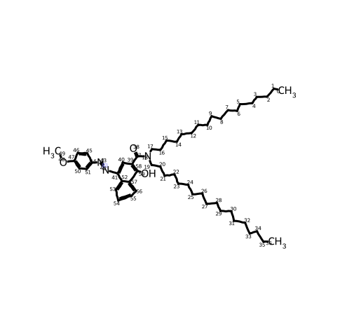 CCCCCCCCCCCCCCCCCCN(CCCCCCCCCCCCCCCCCC)C(=O)c1cc(/N=N/c2ccc(OC)cc2)c2ccccc2c1O